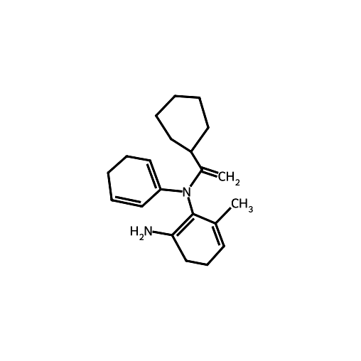 C=C(C1CCCCC1)N(C1=CCCC=C1)C1=C(N)CCC=C1C